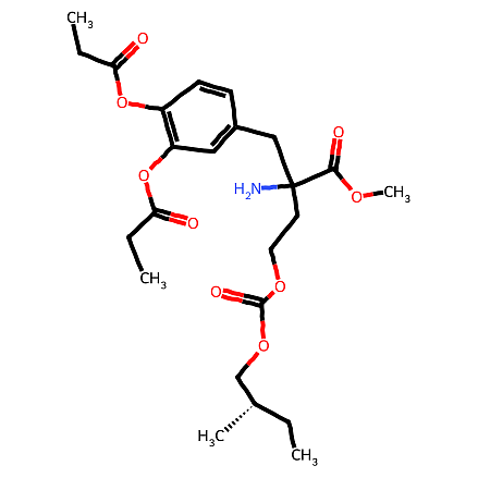 CCC(=O)Oc1ccc(CC(N)(CCOC(=O)OC[C@@H](C)CC)C(=O)OC)cc1OC(=O)CC